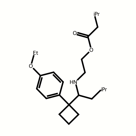 CCOc1ccc(C2(C(CC(C)C)NCCOC(=O)CC(C)C)CCC2)cc1